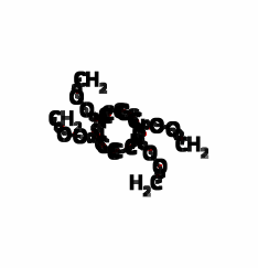 C=Cc1ccc(OCCCCOCc2ccc(-n3c4ccc(cc4)c4ccc(cc4)c4ccc(cc4)n(-c4ccc(COCCCCOc5ccc(C=C)cc5)cc4)c4cccc(c4)n(-c4ccc(COCCCCOc5ccc(C=C)cc5)cc4)c4ccc(cc4)c4ccc(cc4)c4ccc(cc4)n(-c4ccc(COCCCCOc5ccc(C=C)cc5)cc4)c4cccc3c4)cc2)cc1